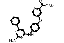 COC(=O)c1cc(Oc2ccc(Nc3cc(-c4ccccc4)nc(N)n3)cc2)ccn1